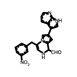 O=CC1NC=C(Cc2cccc([N+](=O)[O-])c2)n2cc(-c3c[nH]c4ncccc34)cc21